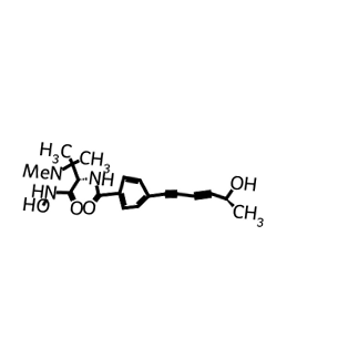 CNC(C)(C)[C@H](NC(=O)c1ccc(C#CC#C[C@H](C)O)cc1)C(=O)NO